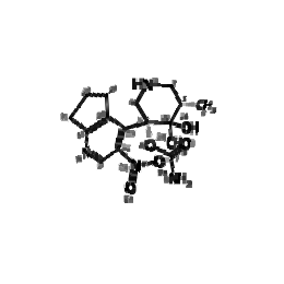 C[C@H]1CNC[C@](OC(N)=O)(c2c([N+](=O)[O-])cnc3c2CCC3)C1(C)O